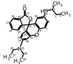 CCC(C)Nc1ccc2c(c1)C1(OC(=O)c3ccccc31)c1ccc(N(CC)CC)cc1O2